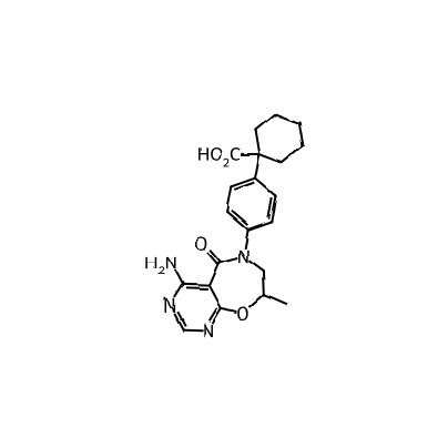 CC1CN(c2ccc(C3(C(=O)O)CCCCC3)cc2)C(=O)c2c(N)ncnc2O1